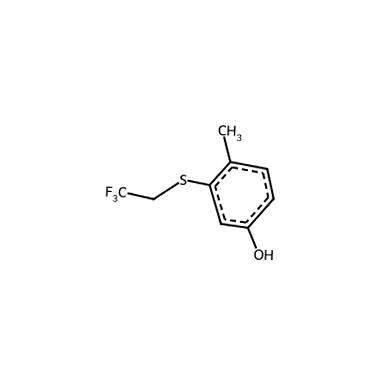 Cc1ccc(O)cc1SCC(F)(F)F